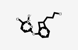 [O-][n+]1nc(Oc2cccc3c2CC3CCCCl)ccc1Cl